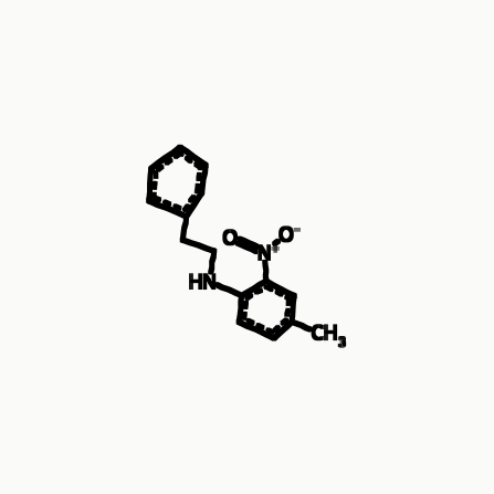 Cc1ccc(NCCc2ccccc2)c([N+](=O)[O-])c1